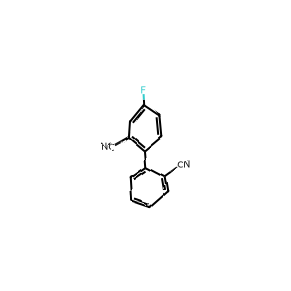 N#Cc1ccccc1-c1ccc(F)cc1C#N